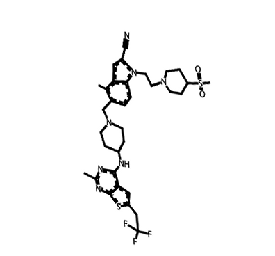 Cc1nc(NC2CCN(Cc3ccc4c(cc(C#N)n4CCN4CCC(S(C)(=O)=O)CC4)c3C)CC2)c2cc(CC(F)(F)F)sc2n1